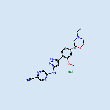 CCN1CCO[C@H](c2ccc(-c3cc(Nc4cnc(C#N)cn4)n[nH]3)c(OC)c2)C1.Cl